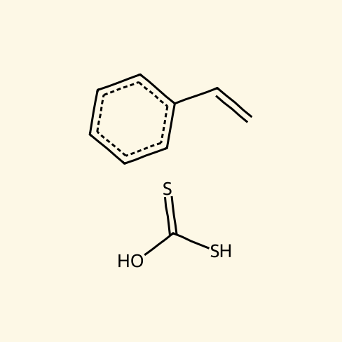 C=Cc1ccccc1.OC(=S)S